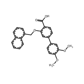 COc1ccc(-c2ccc(C(=O)O)c(OCc3cccc4ccccc34)c2)cc1OC